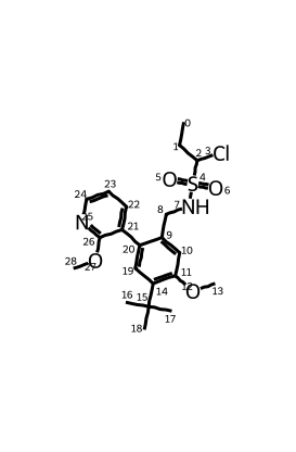 CCC(Cl)S(=O)(=O)NCc1cc(OC)c(C(C)(C)C)cc1-c1cccnc1OC